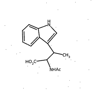 CC(=O)NC(C(=O)O)C(C)c1c[nH]c2ccccc12